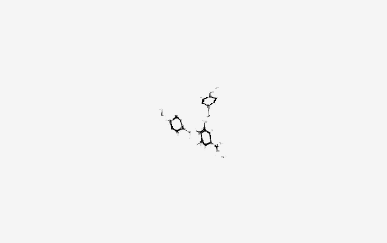 COC(=O)c1cc(F)c(OCc2ccc(OC)cc2)c(OCc2ccc(OC)cc2)c1